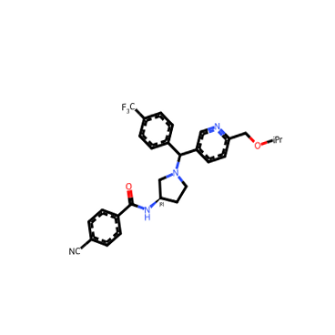 CC(C)OCc1ccc(C(c2ccc(C(F)(F)F)cc2)N2CC[C@@H](NC(=O)c3ccc(C#N)cc3)C2)cn1